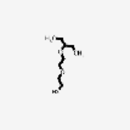 CCC(CC)OCCOCCS